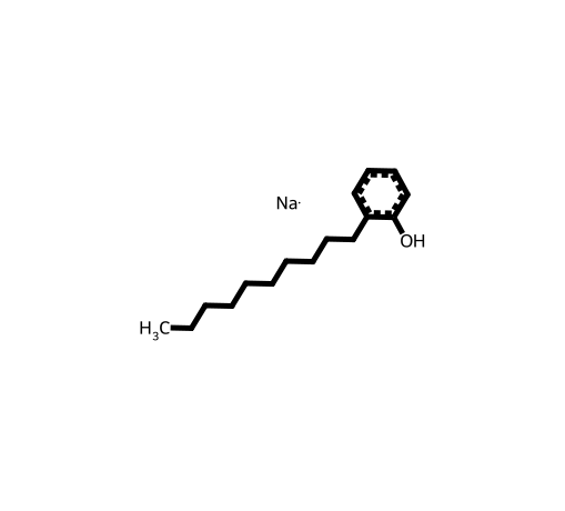 CCCCCCCCCCc1ccccc1O.[Na]